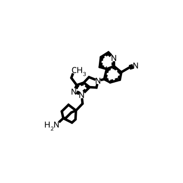 CCc1nn(CC23CCC(N)(CC2)CC3)c2c1CN(c1ccc(C#N)c3ncccc13)C2